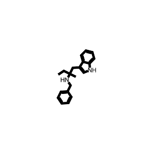 CCC(C)(Cc1c[nH]c2ccccc12)NCc1ccccc1